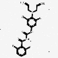 C=CCN(CC=C)c1c(Cl)cc(NC(=O)NC(=O)c2c(F)cccc2F)cc1Cl